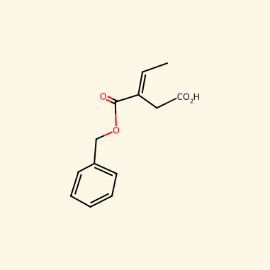 CC=C(CC(=O)O)C(=O)OCc1ccccc1